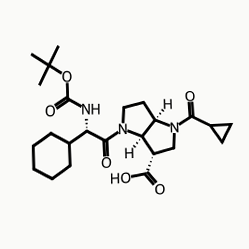 CC(C)(C)OC(=O)N[C@H](C(=O)N1CC[C@@H]2[C@H]1[C@@H](C(=O)O)CN2C(=O)C1CC1)C1CCCCC1